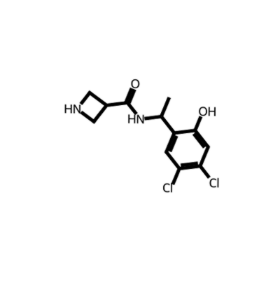 CC(NC(=O)C1CNC1)c1cc(Cl)c(Cl)cc1O